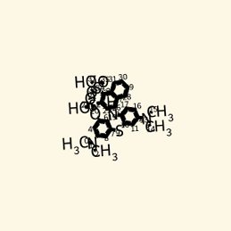 CN(C)c1ccc2c(c1)Sc1cc(N(C)C)ccc1N2.O=S(=O)(O)c1ccc2ccccc2c1S(=O)(=O)O